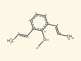 CC=Cc1cccc(C=CC)c1OI